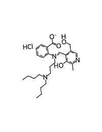 CCCCN(CCCC)CCC[N+](=Cc1c(CO)cnc(C)c1O)c1ccccc1C(=O)[O-].Cl